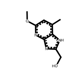 COc1cc(C)c2[nH]c(CO)nc2n1